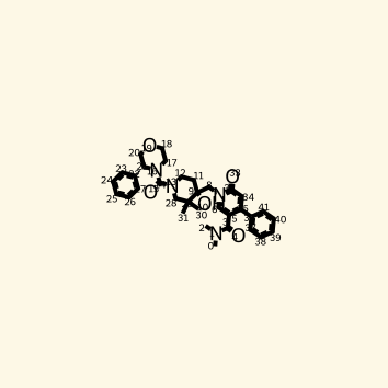 CN(C)C(=O)c1cn(CC2(O)CCN(C(=O)N3CCOC[C@H]3c3ccccc3)CC2(C)C)c(=O)cc1-c1ccccc1